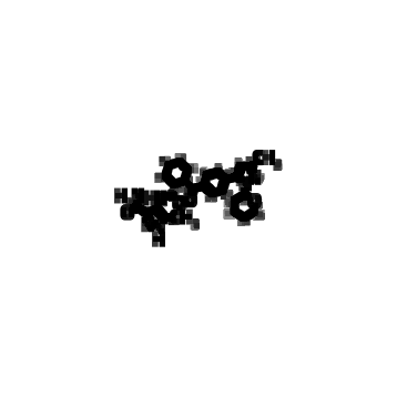 Cc1cc(-c2ccc(C(=O)[C@@H]3CCCC[C@H]3C(=O)Nc3c(C(N)=O)n[nH]c3C)cc2)n(C2CCCCO2)n1